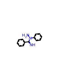 N=C(c1ccccc1)N(N)c1ccccc1